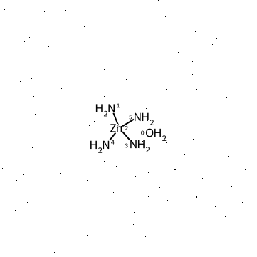 O.[NH2][Zn]([NH2])([NH2])[NH2]